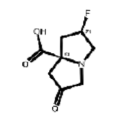 O=C1CN2C[C@H](F)C[C@@]2(C(=O)O)C1